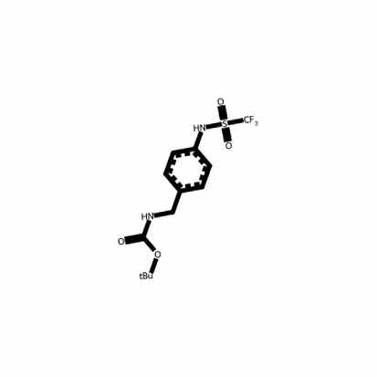 CC(C)(C)OC(=O)NCc1ccc(NS(=O)(=O)C(F)(F)F)cc1